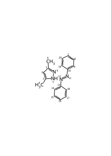 Cc1cc(C)[nH]n1.c1ccc(N=Nc2ccccc2)cc1